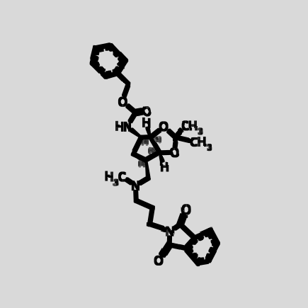 CN(CCCN1C(=O)c2ccccc2C1=O)C[C@H]1C[C@@H](NC(=O)OCc2ccccc2)[C@@H]2OC(C)(C)O[C@H]12